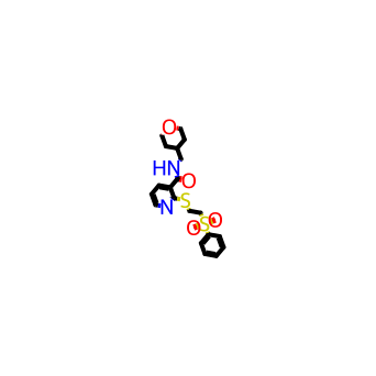 O=C(NCC1CCOCC1)c1cccnc1SCCS(=O)(=O)c1ccccc1